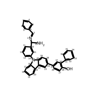 NC(/N=C/c1ccccc1)c1cccc(-n2c3ccccc3c3cc(-c4ccc(O)c(-c5ccccc5)c4)ccc32)c1